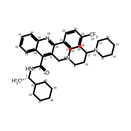 C[C@H](NC(=O)c1c(CN2CCC(N3CCCCC3)CC2)c(-c2ccc(C(F)(F)F)cc2)nc2ccccc12)C1CCCCC1